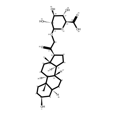 C[C@]12CC[C@H](O)C[C@@H]1CC[C@@H]1[C@@H]2CC[C@]2(C)[C@@H](C(=O)COC3O[C@H](C(=O)O)[C@@H](O)[C@H](O)[C@H]3O)CC[C@@H]12